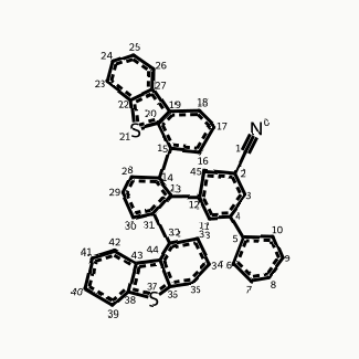 N#Cc1cc(-c2ccccc2)cc(-c2c(-c3cccc4c3sc3ccccc34)cccc2-c2cccc3sc4ccccc4c23)c1